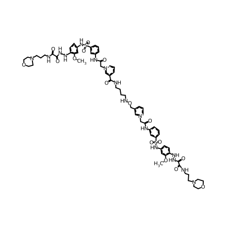 COc1cc(NS(=O)(=O)c2cccc(NC(=O)C[n+]3cccc(CONCCCCNC(=O)c4ccc[n+](CC(=O)Nc5cccc(S(=O)(=O)Nc6ccc(NNC(=O)C(=O)NCCCN7CCOCC7)c(OC)c6)c5)c4)c3)c2)ccc1NNC(=O)C(=O)NCCCN1CCOCC1